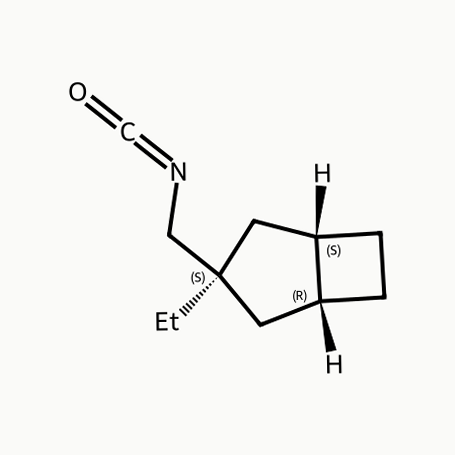 CC[C@@]1(CN=C=O)C[C@H]2CC[C@H]2C1